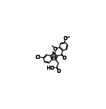 COc1ccc(C(=O)c2[nH]c3cc(Cl)ccc3c2CC(=O)O)c(OC)c1